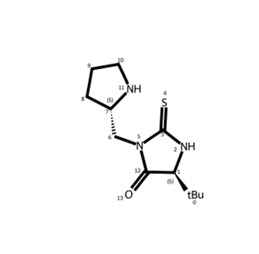 CC(C)(C)[C@@H]1NC(=S)N(C[C@@H]2CCCN2)C1=O